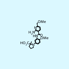 COCc1ccc(C(=O)Nc2cc(N3CCC[C@@]3(C)C(=O)O)ccc2OC)c(N)n1